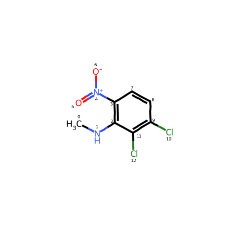 CNc1c([N+](=O)[O-])ccc(Cl)c1Cl